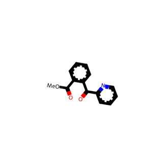 COC(=O)c1ccccc1C(=O)c1ccccn1